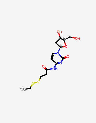 CC(C)(C)CSSCCC(=O)Nc1ccn([C@H]2CC(O)[C@@H](CO)O2)c(=O)n1